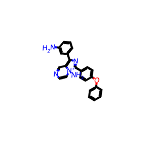 Nc1cccc(C2=C3C=NC=C[N+]3(N)C(c3ccc(Oc4ccccc4)cc3)=N2)c1